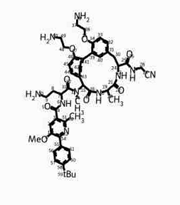 COc1cc(C(=O)NC(CCN)C(=O)N(C)C2C(=O)NC(C)C(=O)NC(C(=O)NCC#N)Cc3ccc(OCCN)c(c3)-c3cc2ccc3OCCN)c(C)nc1-c1ccc(C(C)(C)C)cc1